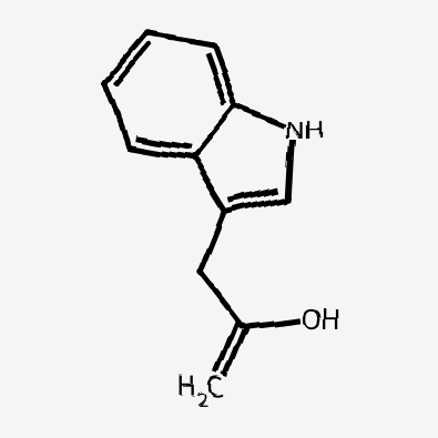 C=C(O)Cc1c[nH]c2ccccc12